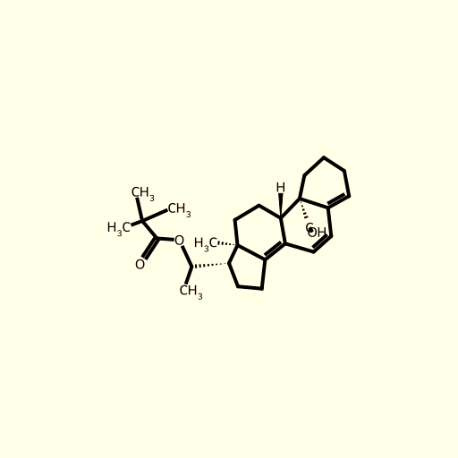 CC(OC(=O)C(C)(C)C)[C@H]1CCC2=C3C=CC4=CCCC[C@]4(CO)[C@H]3CC[C@@]21C